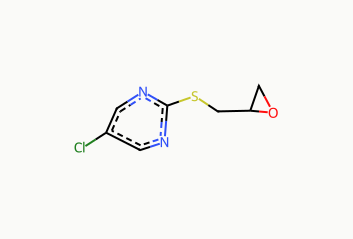 Clc1cnc(SCC2CO2)nc1